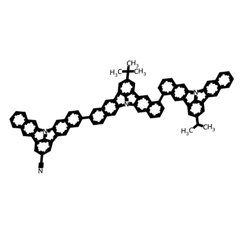 CC(C)c1cc2c3cc4ccccc4cc3n3c4cc5cccc(-c6cccc7cc8c(cc67)c6cc(C(C)(C)C)cc7c9cc%10cc(-c%11ccc%12cc%13c(cc%12c%11)c%11cc(C#N)cc%12c%14cc%15ccccc%15cc%14n%13c%12%11)ccc%10cc9n8c76)c5cc4c(c1)c23